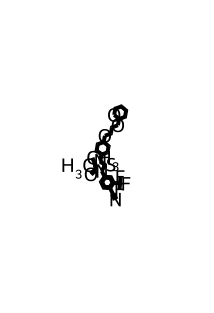 CC1(C)C(=O)N(c2ccc(C#N)c(C(F)(F)F)c2)C(=S)N1C1CCC(OCCOC2CCCCO2)CC1